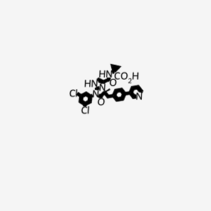 C[C@@]1(Cc2ccc(-c3cccnc3)cc2)C(=O)N(c2cc(Cl)cc(Cl)c2)C2NC=C(C(=O)NC3(C(=O)O)CC3)N21